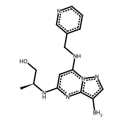 Bc1cnn2c(NCc3cccnc3)cc(N[C@@H](C)CO)nc12